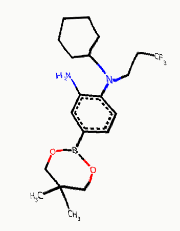 CC1(C)COB(c2ccc(N(CCC(F)(F)F)C3CCCCC3)c(N)c2)OC1